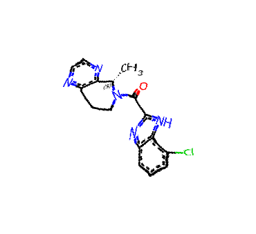 C[C@H]1c2nccnc2CCN1C(=O)c1nc2cccc(Cl)c2[nH]1